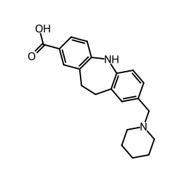 O=C(O)c1ccc2c(c1)CCc1cc(CN3CCCCC3)ccc1N2